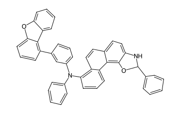 c1ccc(C2Nc3ccc4ccc5c(N(c6ccccc6)c6cccc(-c7cccc8oc9ccccc9c78)c6)cccc5c4c3O2)cc1